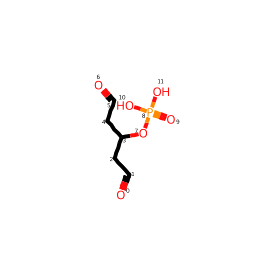 O=CCC(CC=O)OP(=O)(O)O